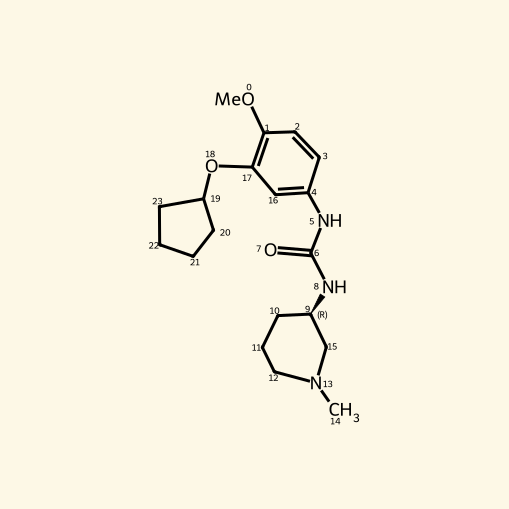 COc1ccc(NC(=O)N[C@@H]2CCCN(C)C2)cc1OC1CCCC1